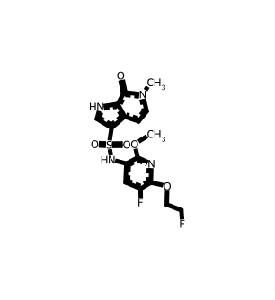 COc1nc(OCCF)c(F)cc1NS(=O)(=O)c1c[nH]c2c(=O)n(C)ccc12